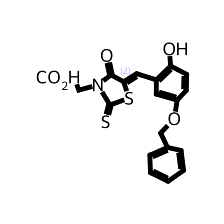 O=C(O)CN1C(=O)/C(=C/c2cc(OCc3ccccc3)ccc2O)SC1=S